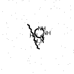 CCCCCCCCCCCCCC.NCN1CCNCCCNCCNC1